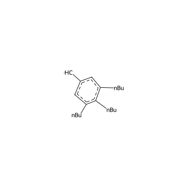 [CH]c1cc(CCCC)c(CCCC)c(CCCC)c1